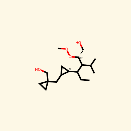 CCC(C(C(C)C)[C@@H](CO)OOC)[C@@H]1CC1CC1(CO)CC1